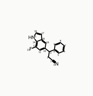 N#CCC(c1ccccc1)c1cc(F)c2[nH]ccc2c1